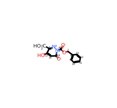 O=C(O)c1nn(C(=O)OCc2ccccc2)c(=O)cc1O